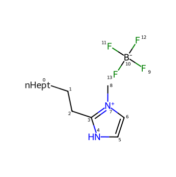 CCCCCCCCCc1[nH]cc[n+]1C.F[B-](F)(F)F